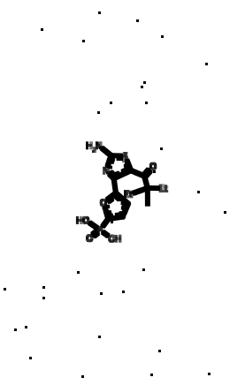 CCC(C)(CC)C(=O)c1sc(N)nc1-c1ccc(P(=O)(O)O)o1